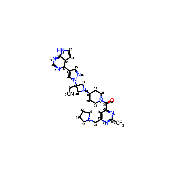 N#CCC1(n2cc(C3N=CN=C4NC=CC43)cn2)CN(C2CCN(C(=O)c3cc(CN4CCCC4)nc(C(F)(F)F)n3)CC2)C1